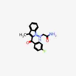 Cc1c(C(=O)c2ccc(F)cc2)n(NCC(N)=O)c2ccccc12